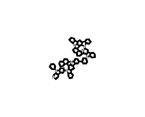 c1ccc(-n2c3ccc(-n4c5ccccc5c5cc6c7cc(-c8cccc(-n9c%10ccccc%10c%10cc(-n%11c%12ccccc%12c%12cc%13c%14ccccc%14n%14c%15ccc%16ccccc%16c%15c(c%12%11)c%13%14)ncc%109)c8)ccc7n7c8ccc9ccccc9c8c(c54)c67)cc3c3ccncc32)cc1